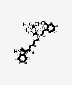 CC(C)(C)OC(=O)N(CCCCC(=O)c1c[nH]c2ccccc12)CCc1ccccc1Cl